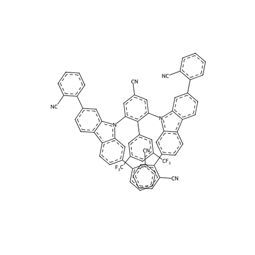 N#Cc1cc(-n2c3cc(-c4ccccc4C#N)ccc3c3ccc(-c4ccccc4C#N)cc32)c(-c2cc(C(F)(F)F)cc(C(F)(F)F)c2)c(-n2c3cc(-c4ccccc4C#N)ccc3c3ccc(-c4ccccc4C#N)cc32)c1